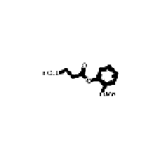 CCCCCCCCCCC(=O)Oc1ccccc1OC